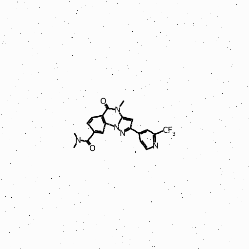 CN(C)C(=O)c1ccc2c(=O)n(C)c3cc(-c4ccnc(C(F)(F)F)c4)nn3c2c1